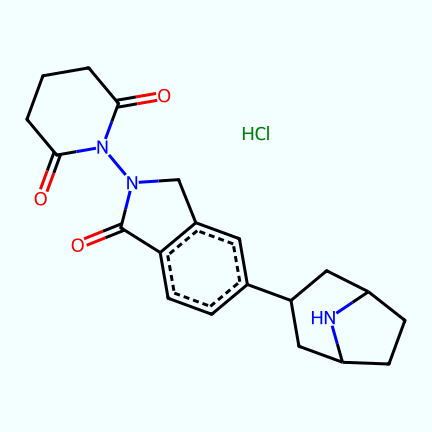 Cl.O=C1c2ccc(C3CC4CCC(C3)N4)cc2CN1N1C(=O)CCCC1=O